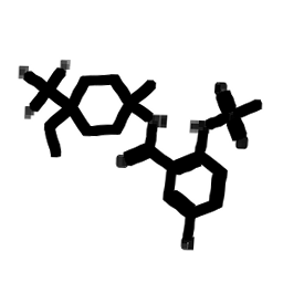 CCC1(C(F)(F)F)CCC(C)(NC(=O)c2cc(Cl)ccc2NS(C)(=O)=O)CC1